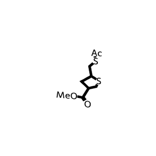 COC(=O)C1CSC(CSC(C)=O)C1